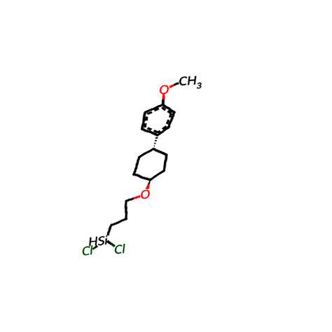 COc1ccc([C@H]2CC[C@H](OCCC[SiH](Cl)Cl)CC2)cc1